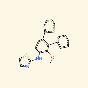 COc1c(Nc2nccs2)ccc(-c2ccccc2)c1-c1ccccc1